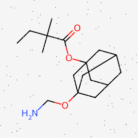 CCC(C)(C)C(=O)OC12CC3CC(CC(OCN)(C3)C1)C2